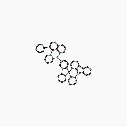 c1ccc(-c2ccccc2-c2ccccc2N(c2ccccc2)c2ccc3c(c2)-c2ccccc2C32c3ccccc3-n3c4ccccc4c4cccc2c43)cc1